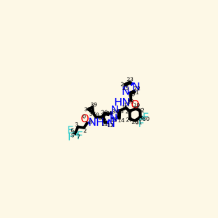 O=C(CCC(F)(F)F)N[C@@H](c1cnn2cc([C@@H](NC(=O)c3cnccn3)C3CCC(F)(F)CC3)nc2c1)C1CC1